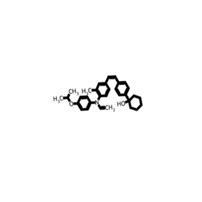 C=CN(c1ccc(OC(C)C)cc1)c1ccc(/C=C\c2ccc(C3(O)CCCCC3)cc2)cc1C